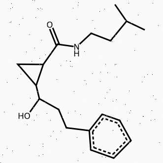 CC(C)CCNC(=O)C1CC1C(O)CCc1ccccc1